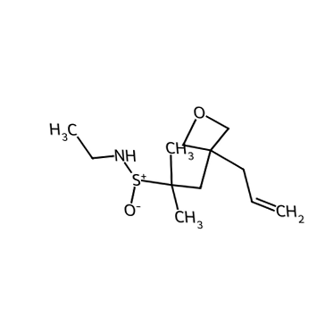 C=CCC1(CC(C)(C)[S+]([O-])NCC)COC1